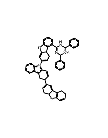 C1=CC2=C(CC1)C1=CC(C3C=Cc4c(c5ccccc5n4C4=CCC5C(=C4)Oc4cccc(C6=NC(c7ccccc7)NC(c7ccccc7)N6)c45)C3)=CCC1S2